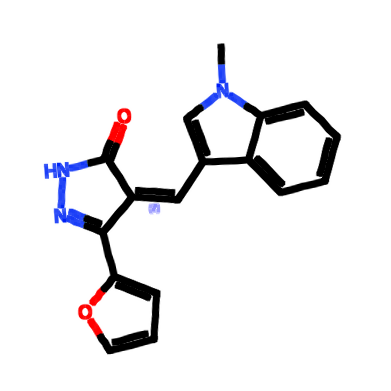 Cn1cc(/C=C2\C(=O)NN=C2c2ccco2)c2ccccc21